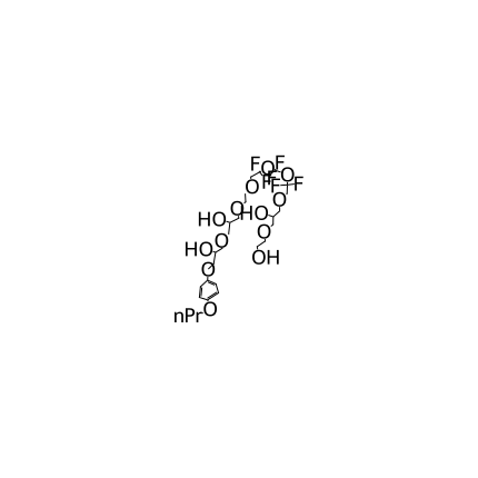 CCCOc1ccc(OCC(O)COCC(O)COCCOCC(F)(F)OC(F)(F)OC(F)(F)COCC(O)COCCO)cc1